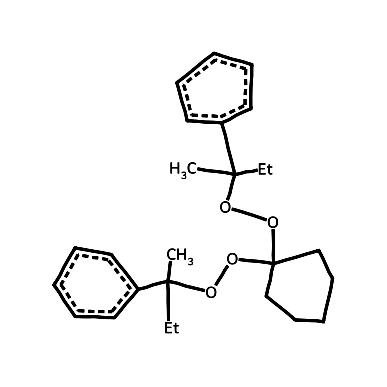 CCC(C)(OOC1(OOC(C)(CC)c2ccccc2)CCCCC1)c1ccccc1